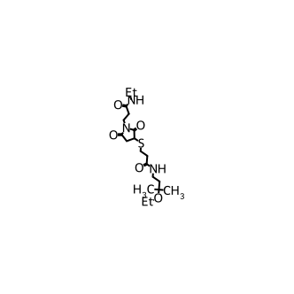 CCNC(=O)CCN1C(=O)CC(SCCC(=O)NCCC(C)(C)OCC)C1=O